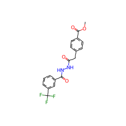 COC(=O)c1ccc(CC(=O)NNC(=O)c2cccc(C(F)(F)F)c2)cc1